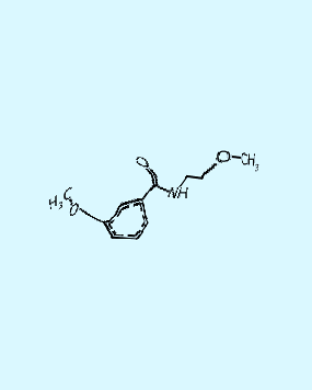 COCCNC(=O)c1cccc(OC)c1